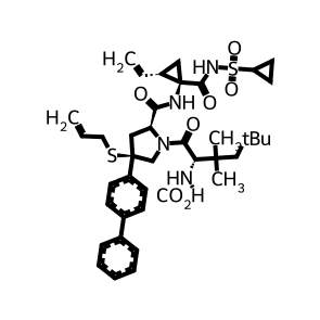 C=CCS[C@@]1(c2ccc(-c3ccccc3)cc2)C[C@@H](C(=O)N[C@]2(C(=O)NS(=O)(=O)C3CC3)C[C@H]2C=C)N(C(=O)[C@@H](NC(=O)O)C(C)(C)CC(C)(C)C)C1